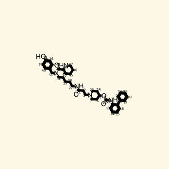 O=C(CCN1CCC(OC(=O)Nc2ccccc2-c2ccccc2)CC1)NCCCCCN(Cc1ccc(O)cc1)C(=O)C1CCCCN1